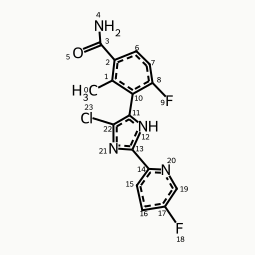 Cc1c(C(N)=O)ccc(F)c1-c1[nH]c(-c2ccc(F)cn2)nc1Cl